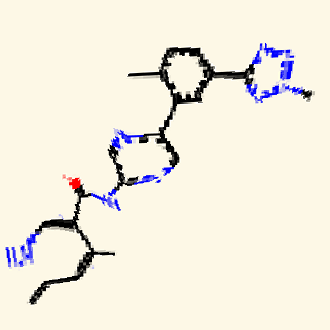 C=C/C=C(C)\C(=C/N)C(=O)Nc1cnc(-c2cc(-c3nnn(C)n3)ccc2C)cn1